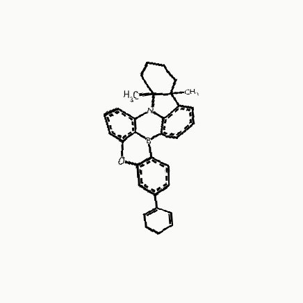 CC12CCCCC1(C)N1c3cccc4c3B(c3ccc(C5=CCCC=C5)cc3O4)c3cccc2c31